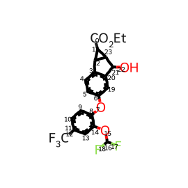 CCOC(=O)C1C2c3ccc(Oc4ccc(C(F)(F)F)cc4OC(F)F)cc3C(O)C12